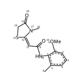 COc1cccc(C)c1NC(=O)C=C1SCC(=O)N1C